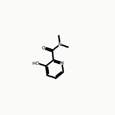 CN(C)C(=O)c1ncccc1O